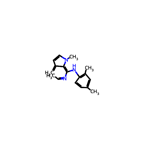 C=c1ccn(C)/c1=C(/N=C\C)Nc1ccc(C)cc1C